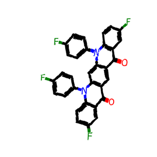 O=c1c2cc(F)ccc2n(-c2ccc(F)cc2)c2cc3c(cc12)c(=O)c1cc(F)ccc1n3-c1ccc(F)cc1